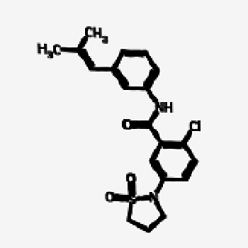 CC(C)=Cc1cccc(NC(=O)c2cc(N3CCCS3(=O)=O)ccc2Cl)c1